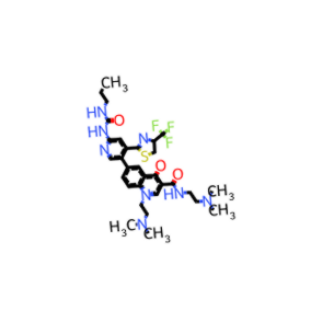 CCCNC(=O)Nc1cc(C2=NC(C(F)(F)F)CS2)c(-c2ccc3c(c2)c(=O)c(C(=O)NCCN(C)C)cn3CCN(C)C)cn1